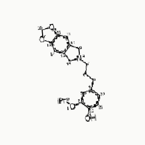 CC(C)Oc1cc(CCCN2Cc3cc4c(cc3C2)OCO4)ccc1O